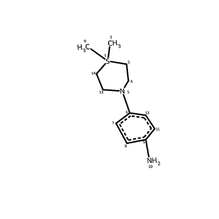 CS1(C)CCN(c2ccc(N)cc2)CC1